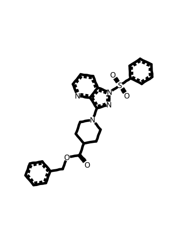 O=C(OCc1ccccc1)C1CCN(c2nn(S(=O)(=O)c3ccccc3)c3cccnc23)CC1